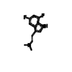 CN(C)CCc1c[nH]c2c(F)cc(F)cc12